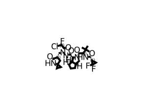 CC(C)(C)[C@H](NC(=O)[C@@H]1CC1(F)F)C(=O)N1C[C@@H]2CCC[C@@H]2[C@H]1C(=O)NN(C[C@@H]1CC2(CC2)NC1=O)C(=O)[C@H](F)Cl